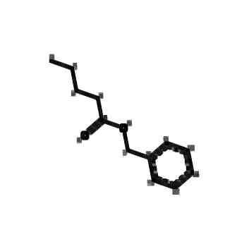 C[CH]CCC(=O)OCc1ccccc1